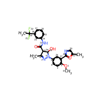 COc1ccc(N2N=C(C)C(C(=O)Nc3cccc(C(C)(F)F)c3)C2O)cc1-c1ncc(C)o1